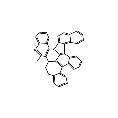 Clc1nc2ccccc2nc1C1CCc2ccccc2-c2c1c1oc3ccc4ccccc4c3c1c1ccccc21